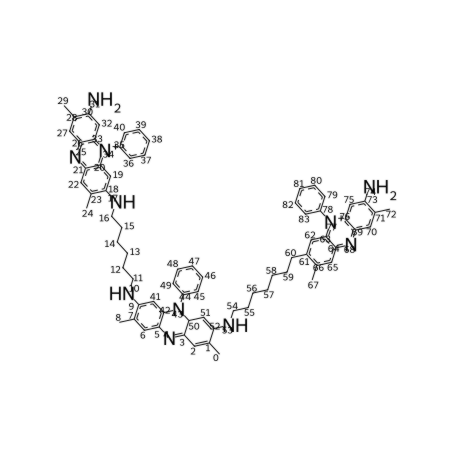 CC1=CC2=Nc3cc(C)c(NCCCCCCNc4cc5c(cc4C)nc4cc(C)c(N)cc4[n+]5-c4ccccc4)cc3N(c3ccccc3)C2C=C1NCCCCCCCc1cc2c(cc1C)nc1cc(C)c(N)cc1[n+]2-c1ccccc1